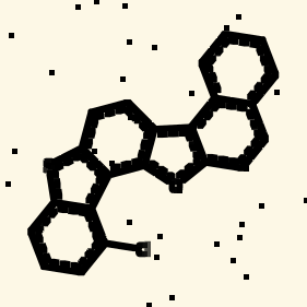 Clc1cccc2sc3ccc4c(oc5ccc6ccccc6c54)c3c12